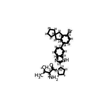 CC(C)C(N)C(=O)N1CCC[C@H]1c1nc2ccc(-c3ccc(Br)c4c3CC3(CCCC3)C4)cc2[nH]1